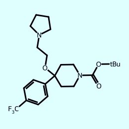 CC(C)(C)OC(=O)N1CCC(OCCN2CCCC2)(c2ccc(C(F)(F)F)cc2)CC1